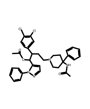 CC(=O)NC1(c2ccccc2)CCN(CCC(c2ccc(Cl)c(Cl)c2)C(OC(C)=O)c2ccnn2-c2ccccc2)CC1